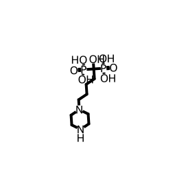 O=P(O)(O)C(O)(CCCCN1CCNCC1)P(=O)(O)O